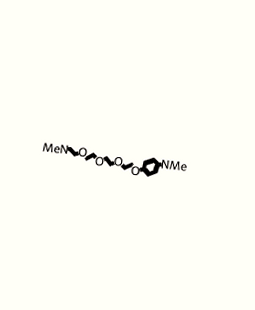 CNCCOCCOCCOCCOc1ccc(NC)cc1